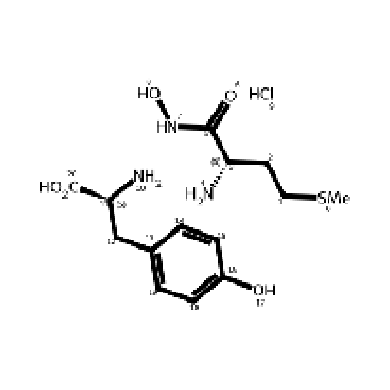 CSCC[C@H](N)C(=O)NO.Cl.N[C@@H](Cc1ccc(O)cc1)C(=O)O